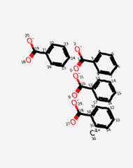 O=C([O-])c1ccccc1.O=C([O-])c1ccccc1.O=C([O-])c1ccccc1.O=C([O-])c1ccccc1.[C+4]